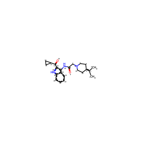 CC(C)=C1CCN(CC(=O)Nc2c(C(=O)C3CC3)[nH]c3ccccc23)CC1